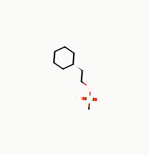 CS(=O)(=O)OCC[C@H]1CC[C@H](C)CC1